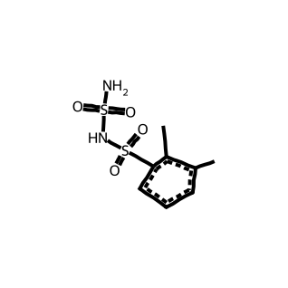 Cc1cccc(S(=O)(=O)NS(N)(=O)=O)c1C